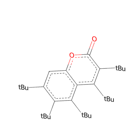 CC(C)(C)c1cc2oc(=O)c(C(C)(C)C)c(C(C)(C)C)c2c(C(C)(C)C)c1C(C)(C)C